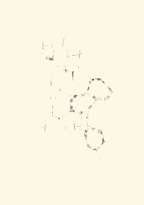 CC1(C)CO[C@]2(CC[C@@](C(=O)O)(C(F)F)CC2)c2c1n(-c1ccc(F)cc1)c1cccc(O)c12